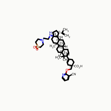 C=C(C)[C@H]1CCC2(NCCN3CCS(=O)(=O)CC3)CC[C@]3(C)[C@H](CC[C@@H]4[C@@]5(C)CC=C(C6=CC[C@@](COc7ncccc7C#N)(C(=O)O)CC6)C(C)(C)[C@@H]5CC[C@]43C)[C@@H]12